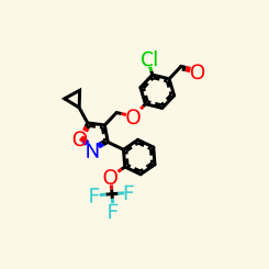 O=Cc1ccc(OCc2c(-c3ccccc3OC(F)(F)F)noc2C2CC2)cc1Cl